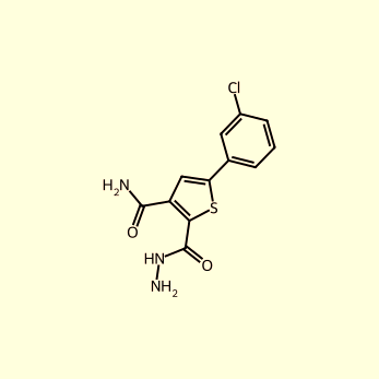 NNC(=O)c1sc(-c2cccc(Cl)c2)cc1C(N)=O